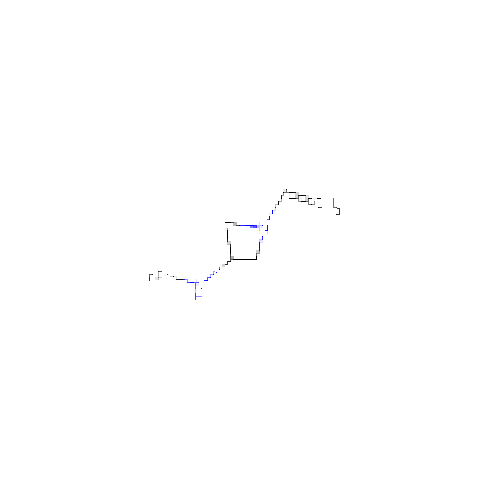 C=CN1CC(NCCC)C1